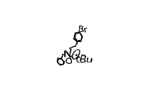 CC(C)(C)OC(=O)N(CCc1ccc(Br)cc1)Cc1ccccc1